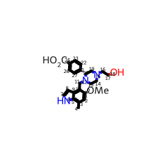 COc1cc(C)c2[nH]ccc2c1CN1CCN(CCO)C[C@H]1c1ccc(C(=O)O)cc1